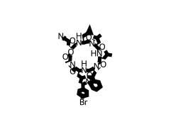 CC(C)C[C@@H]1NC(=O)[C@H](Cc2cn(Cc3ccc(Br)cc3)c3ccccc23)N(C)C(=O)[C@H](CC(C)C)NC(=O)[C@H](CC(C)C)N(C)C(=O)[C@H](CC2CC2)NC(=O)[C@@H](CCC#N)OC(=O)[C@H](C)N(C)C1=O